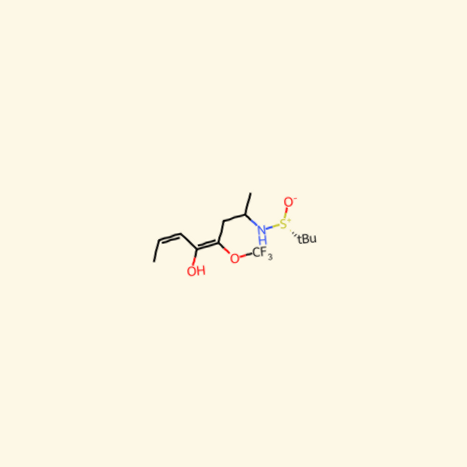 C/C=C\C(O)=C(/CC(C)N[S@+]([O-])C(C)(C)C)OC(F)(F)F